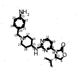 CC(C)[C@H]1COC(=O)N1c1ccnc(NC2CCN(Cc3ccc(N)cc3)CC2)n1